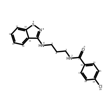 O=C(NCCCNc1nsc2ccccc12)c1ccc(Cl)cc1